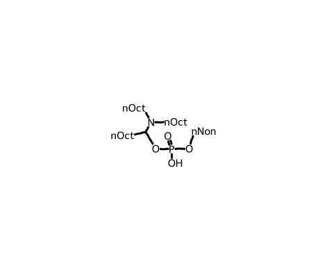 CCCCCCCCCOP(=O)(O)OC(CCCCCCCC)N(CCCCCCCC)CCCCCCCC